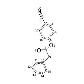 N#Cc1ccc(OC(=O)Cc2ccccc2)cc1